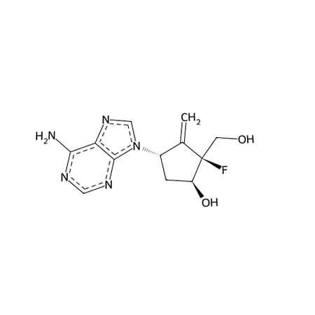 C=C1[C@@H](n2cnc3c(N)ncnc32)C[C@H](O)[C@@]1(F)CO